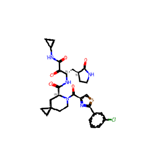 O=C(NC1CC1)C(=O)[C@H](C[C@@H]1CCNC1=O)NC(=O)[C@@H]1CC2(CCN1C(=O)c1csc(-c3cccc(Cl)c3)n1)CC2